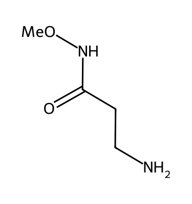 CONC(=O)CCN